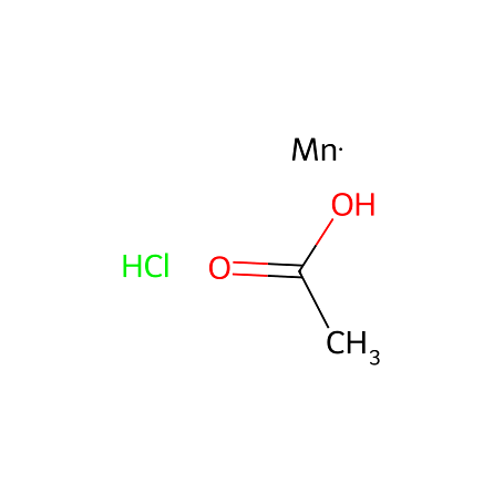 CC(=O)O.Cl.[Mn]